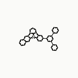 c1ccc(-c2cc(-c3ccccc3)cc(-c3ccc4c(c3)c3cccc5c6cc7ccccc7cc6n4c35)c2)cc1